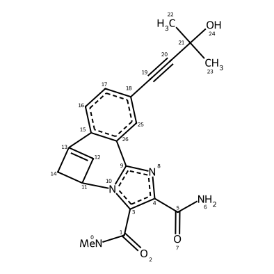 CNC(=O)c1c(C(N)=O)nc2n1C1C=C(C1)c1ccc(C#CC(C)(C)O)cc1-2